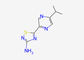 CC(C)c1cnc(-c2nc(N)ns2)cn1